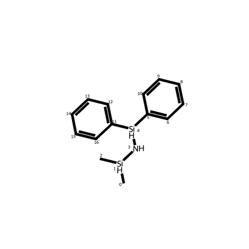 C[SiH](C)N[SiH](c1ccccc1)c1ccccc1